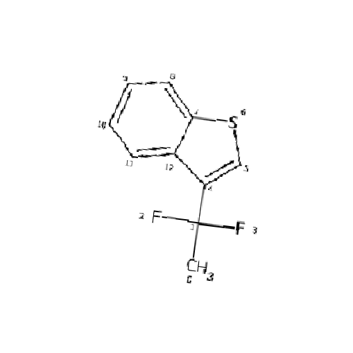 CC(F)(F)c1csc2ccccc12